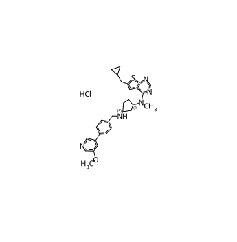 COc1cncc(-c2ccc(CN[C@H]3CC[C@@H](N(C)c4ncnc5sc(CC6CC6)cc45)C3)cc2)c1.Cl